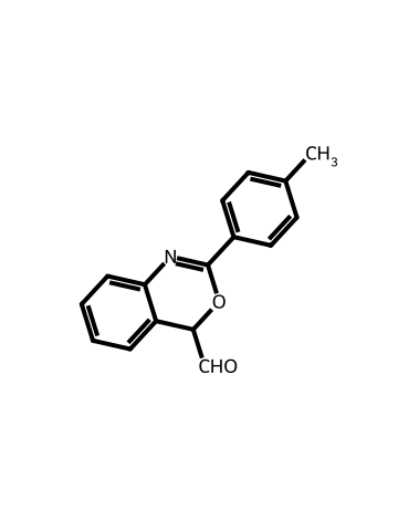 Cc1ccc(C2=Nc3ccccc3C(C=O)O2)cc1